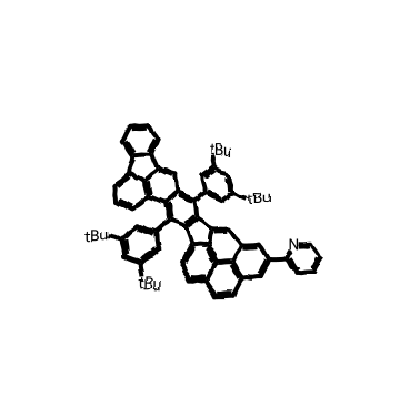 CC(C)(C)c1cc(-c2c3cc4c5ccccc5c5cccc(c3c(-c3cc(C(C)(C)C)cc(C(C)(C)C)c3)c3c6ccc7ccc8cc(-c9ccccn9)cc9cc(c23)c6c7c89)c54)cc(C(C)(C)C)c1